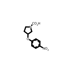 O=C(O)N1CCC(Oc2ccc([N+](=O)[O-])cc2)C1